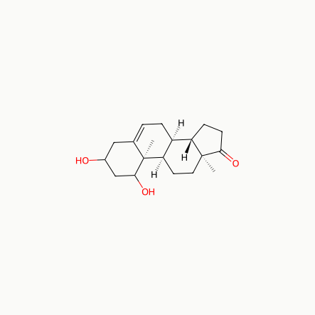 C[C@]12CC[C@@H]3[C@@H](CC=C4CC(O)CC(O)[C@@]43C)[C@@H]1CCC2=O